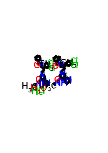 CCNC(=O)NC1(c2ccccc2)CCN(CCC(CN(C)C(=O)c2ccccc2)c2ccc(Cl)c(Cl)c2)CC1.CCNC(=O)NC1(c2ccccc2)CCN(CCC(CN(C)C(=O)c2ccccc2)c2ccc(Cl)c(Cl)c2)CC1.Cl.Cl.O